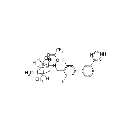 C[C@@H]1[C@H](N(Cc2c(F)cc(-c3cccc(-c4nc[nH]n4)c3)cc2F)OC(=O)C(F)(F)F)C[C@@H]2C[C@H]1C2(C)C